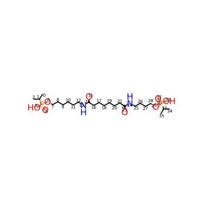 CC(C)P(=O)(O)OCCCCCCNC(=O)CCCCCCC(=O)NCCCCOP(=O)(O)C(C)C